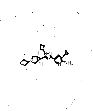 Nc1ncc(-c2cc(C3[C@H]4CN(C5COC5)C[C@@H]34)n(C3CCC3)n2)cc1C1CC1